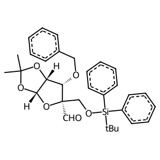 CC1(C)O[C@H]2O[C@](C=O)(CO[Si](c3ccccc3)(c3ccccc3)C(C)(C)C)[C@@H](OCc3ccccc3)[C@H]2O1